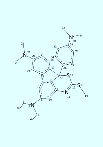 CCN(CC)c1ccc2c(c1)N=C(SC)SC2(c1ccc(N(C)C)cc1)c1ccc(N(C)C)cc1